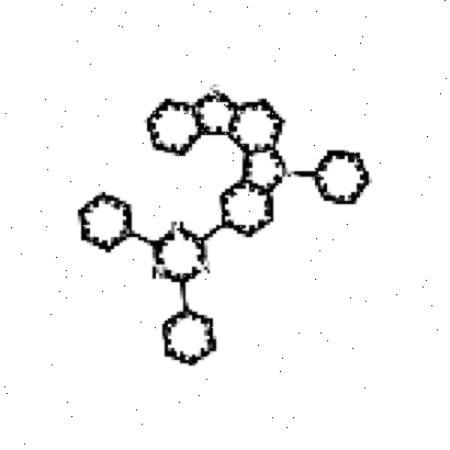 c1ccc(-c2nc(-c3ccccc3)nc(-c3ccc4c(c3)c3c5c(ccc3n4-c3ccccc3)sc3ccccc35)n2)cc1